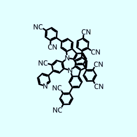 N#Cc1ccc(-c2ccc3c4ccc(-c5ccc(C#N)cc5C#N)cc4n(-c4cc(C#N)c(-c5cccnc5)cc4-n4c5cc(-c6ccc(C#N)cc6C#N)ccc5c5ccc(-c6ccc(C#N)cc6C#N)cc54)c3c2)c(C#N)c1